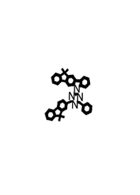 CC1(C)c2ccccc2-c2ccc(-c3nc(-c4ccccc4)nc(-n4c5ccccc5c5cc6c(cc54)-c4ccccc4C6(C)C)n3)cc21